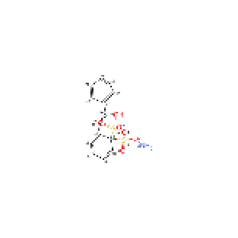 NOS(=O)(=O)C1(S(=O)(=O)O)C=CC=CC1C=Cc1ccccc1